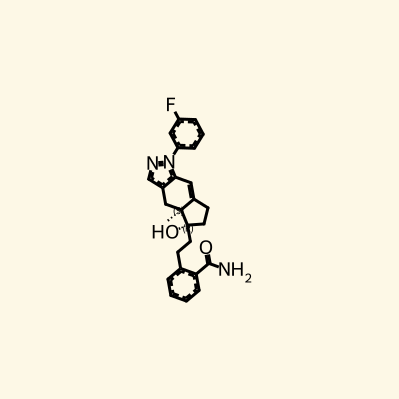 C[C@]12Cc3cnn(-c4cccc(F)c4)c3C=C1CC[C@@]2(O)CCc1ccccc1C(N)=O